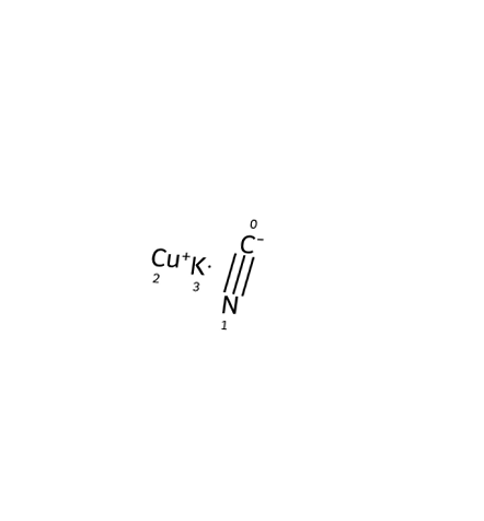 [C-]#N.[Cu+].[K]